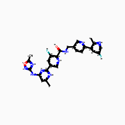 Cc1cc(Nc2noc(C#N)n2)nc(-c2cnc(C(=O)NCc3ccc(-c4cc(F)cnc4C)nc3)c(F)c2)n1